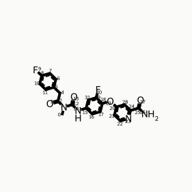 CN(C(=O)Cc1ccc(F)cc1)C(=O)Nc1ccc(Oc2ccnc(C(N)=O)c2)c(F)c1